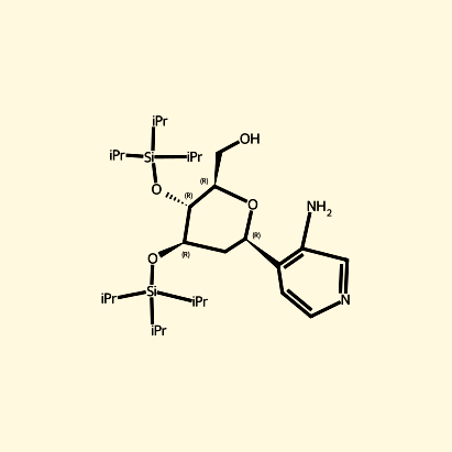 CC(C)[Si](O[C@@H]1[C@@H](CO)O[C@@H](c2ccncc2N)C[C@H]1O[Si](C(C)C)(C(C)C)C(C)C)(C(C)C)C(C)C